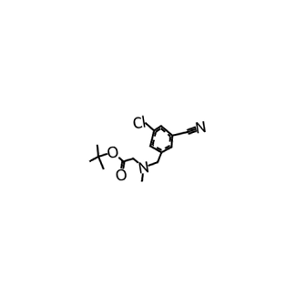 CN(CC(=O)OC(C)(C)C)Cc1cc(Cl)cc(C#N)c1